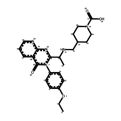 CCOc1ccc(-n2c(C(C)NCC3CCN(C(=O)O)CC3)nc3ncccc3c2=O)cc1